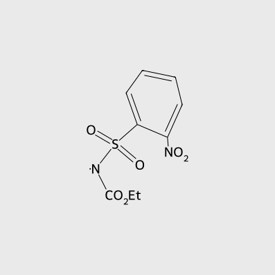 CCOC(=O)[N]S(=O)(=O)c1ccccc1[N+](=O)[O-]